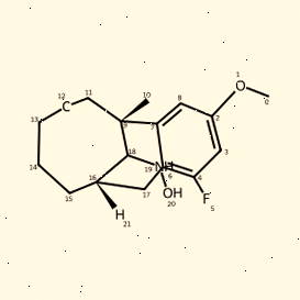 COc1cc(F)c2c(c1)[C@@]1(C)CCCCC[C@@H](C2)C1NO